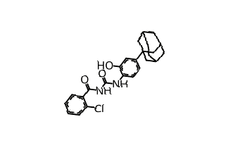 O=C(NC(=O)c1ccccc1Cl)Nc1ccc(C23CC4CC(CC(C4)C2)C3)cc1O